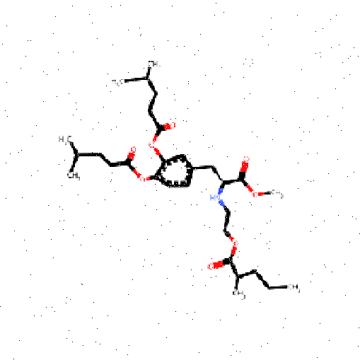 CCCC(C)C(=O)OCCN[C@@H](Cc1ccc(OC(=O)CCC(C)C)c(OC(=O)CCC(C)C)c1)C(=O)OC